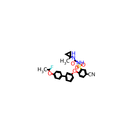 CC(F)Oc1ccc(-c2cccc(Oc3ccc(C#N)cc3S(=O)(=O)NC(=O)NC3(C)CC3)c2)cc1